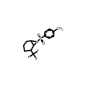 Cc1ccc(S(=O)(=O)N2C3CCCC(C(F)(F)F)C32)cc1